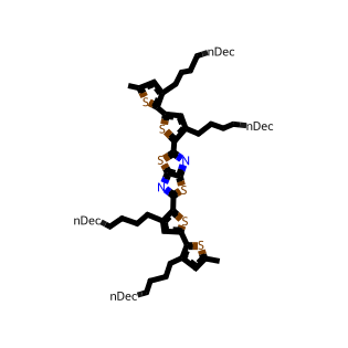 CCCCCCCCCCCCCCc1cc(C)sc1-c1cc(CCCCCCCCCCCCCC)c(-c2nc3sc(-c4sc(-c5sc(C)cc5CCCCCCCCCCCCCC)cc4CCCCCCCCCCCCCC)nc3s2)s1